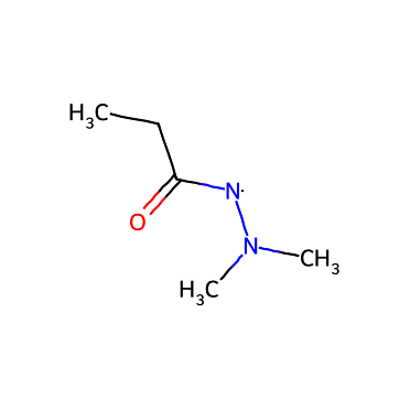 CCC(=O)[N]N(C)C